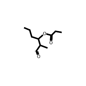 CCCC(OC(=O)CC)C(C)[C]=O